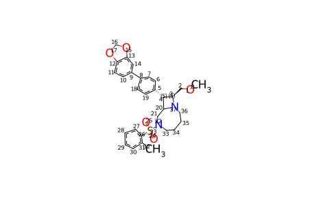 COC[C@@H]1[C@@H](c2ccc(-c3ccc4c(c3)OCO4)cc2)C2CN(S(=O)(=O)c3ccccc3C)CCCCN21